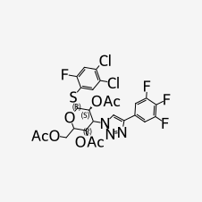 CC(=O)OCC1O[C@H](Sc2cc(Cl)c(Cl)cc2F)[C@@H](OC(C)=O)C(n2cc(-c3cc(F)c(F)c(F)c3)nn2)[C@H]1OC(C)=O